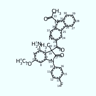 COc1cc(N)c2c(c1)N(c1ccc(F)cc1)C(=O)C2(C)C(=O)c1cc2c3ccccc3n(C(C)=O)c2cn1